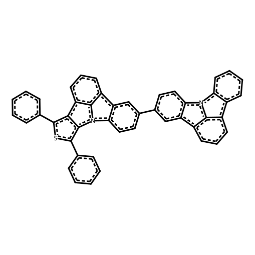 c1ccc(-c2sc(-c3ccccc3)c3c2c2cccc4c5cc(-c6ccc7c(c6)c6cccc8c9ccccc9n7c86)ccc5n3c42)cc1